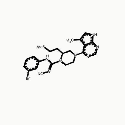 CSCCC1CN(c2ncnc3[nH]cc(C)c23)CCN1C(=NC#N)Nc1cccc(Br)c1